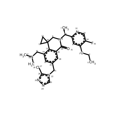 CCOc1cc([C@H](C)N2CC3(CC3)c3c(CN(C)C)cc(Cn4cnnc4Cl)cc3C2=O)ncc1F